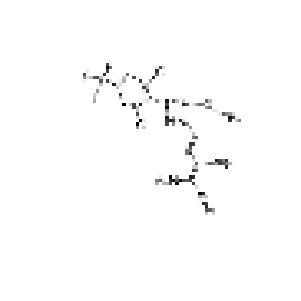 COc1cn(-c2c(Cl)cc(C(F)(F)F)cc2Cl)nc1C=NC(C#N)=C(N)C#N